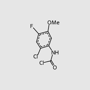 COc1cc(NC(=O)Cl)c(Cl)cc1F